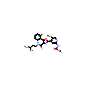 CC(=O)Nc1cc(-c2nc(C(=O)NCCC(C)C)c(-c3ccccc3Cl)o2)c(C)cn1